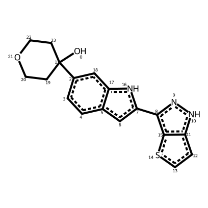 OC1(c2ccc3cc(-c4n[nH]c5ccsc45)[nH]c3c2)CCOCC1